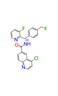 O=C(N[C@@H](c1ccc(CF)cc1)c1ncccc1F)c1ccc2nccc(Cl)c2c1